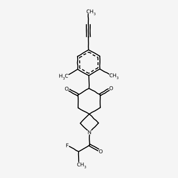 CC#Cc1cc(C)c(C2C(=O)CC3(CC2=O)CN(C(=O)C(C)F)C3)c(C)c1